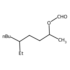 CCCCC(CC)CCC(C)OC=O